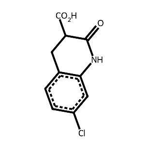 O=C(O)C1Cc2ccc(Cl)cc2NC1=O